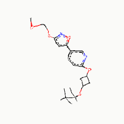 COCOc1cc(-c2ccc(OC3CC(O[Si](C)(C)C(C)(C)C)C3)nc2)on1